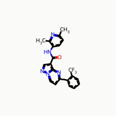 Cc1ccc(NC(=O)c2cnn3ccc(-c4ccccc4C(F)(F)F)nc23)c(C)n1